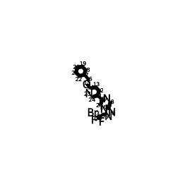 FC(F)(Br)c1nnc2cnc(-c3ccc(OCc4ccccc4)nc3)cn12